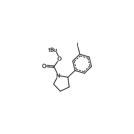 CC(C)(C)OC(=O)N1CCCC1c1cccc(I)c1